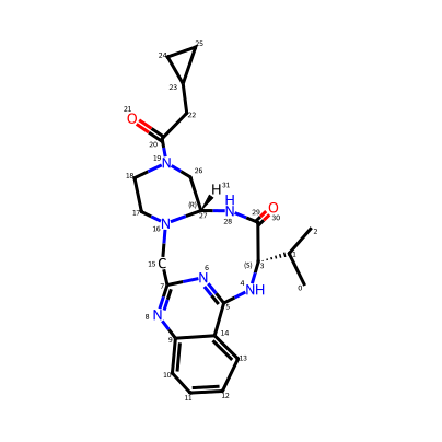 CC(C)[C@@H]1Nc2nc(nc3ccccc23)CN2CCN(C(=O)CC3CC3)C[C@@H]2NC1=O